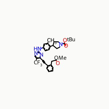 COC(=O)Cc1ccccc1C#Cc1nc(Nc2ccc(C3CCN(C(=O)OC(C)(C)C)CC3)c(C)c2)ncc1C(F)(F)F